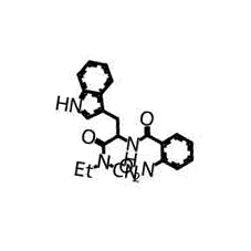 CCN(C#N)C(=O)C(Cc1c[nH]c2ccccc12)NC(=O)c1ccccc1[N+](=O)[O-]